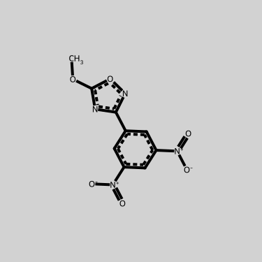 COc1nc(-c2cc([N+](=O)[O-])cc([N+](=O)[O-])c2)no1